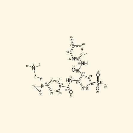 CN(C)CCC1(c2ccc(C(=O)Nc3ccc(S(C)(=O)=O)cc3C(=O)Nc3ccc(Cl)cn3)cc2)CC1